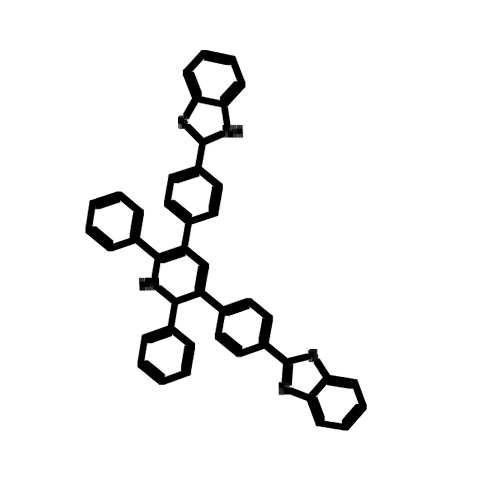 C1=C(c2ccc(-c3nc4ccccc4s3)cc2)C(c2ccccc2)NC(c2ccccc2)=C1c1ccc(C2Nc3ccccc3S2)cc1